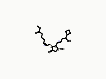 COC(=O)CCC/C=C\C[C@H]1C(=O)C[C@@H](O)[C@@H]1/C=C/CC(O)C1CCC1